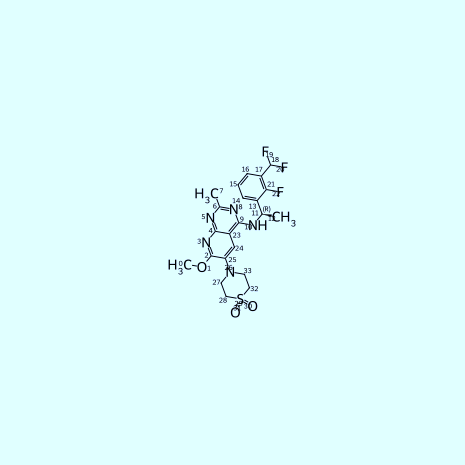 COc1nc2nc(C)nc(N[C@H](C)c3cccc(C(F)F)c3F)c2cc1N1CCS(=O)(=O)CC1